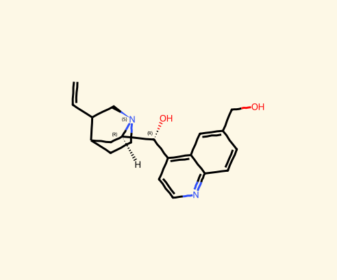 C=CC1C[N@@]2CCC1C[C@@H]2[C@H](O)c1ccnc2ccc(CO)cc12